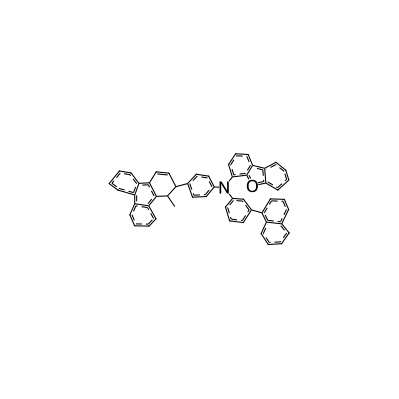 CC1c2c(c3ccccc3c3ccccc23)C=CC1c1ccc(N(c2cccc(-c3cccc4ccccc34)c2)c2cccc3c2oc2ccccc23)cc1